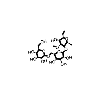 CC[C@H]1O[C@@H](C)[C@@H](OC2O[C@H](COC3O[C@H](CO)[C@@H](O)[C@H](O)[C@H]3O)[C@@H](O)[C@H](O)[C@H]2O)[C@H](OC)[C@H]1O